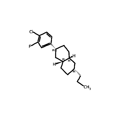 CCC[C@@H]1CC[C@@H]2C[C@H](c3ccc(Cl)c(F)c3)CC[C@@H]2C1